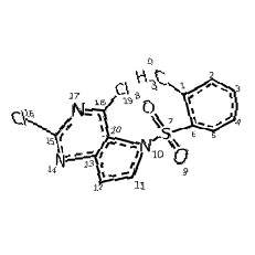 Cc1ccccc1S(=O)(=O)n1ccc2nc(Cl)nc(Cl)c21